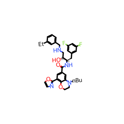 CCCCN1CCOc2c(-c3ncco3)cc(C(=O)N[C@H](Cc3cc(F)cc(F)c3)[C@H](O)CNCc3cccc(CC)c3)cc21